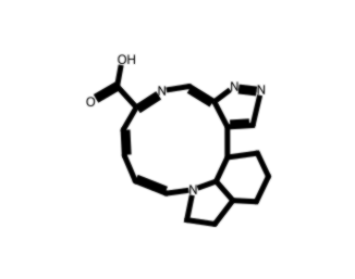 O=C(O)C1=N/C=C2/N=NC=C2C2CCCC3CCN(\C=C/C=C\1)C32